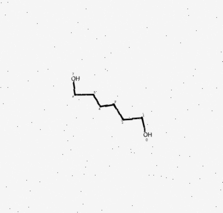 OC[CH]CCCCO